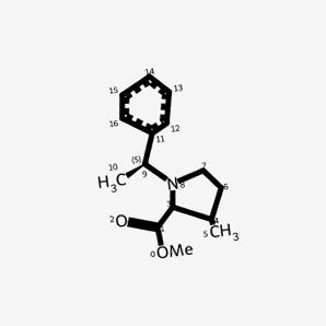 COC(=O)C1C(C)CCN1[C@@H](C)c1ccccc1